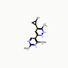 CCC1CC1c1cc(-c2cnc(OC)nc2OC)nnc1C